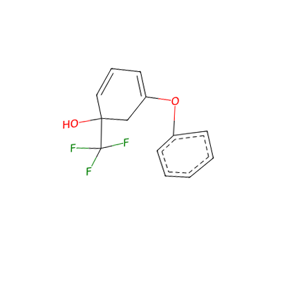 OC1(C(F)(F)F)C=CC=C(Oc2ccccc2)C1